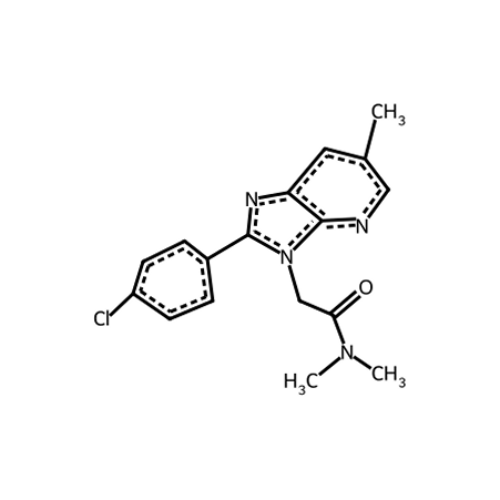 Cc1cnc2c(c1)nc(-c1ccc(Cl)cc1)n2CC(=O)N(C)C